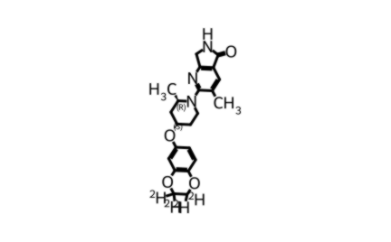 [2H]C1([2H])Oc2ccc(O[C@H]3CCN(c4nc5c(cc4C)C(=O)NC5)[C@H](C)C3)cc2OC1([2H])[2H]